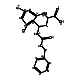 O=C(NC1CC(C(=O)O)Nc2cc(Cl)cc(Cl)c21)OCc1ccccc1